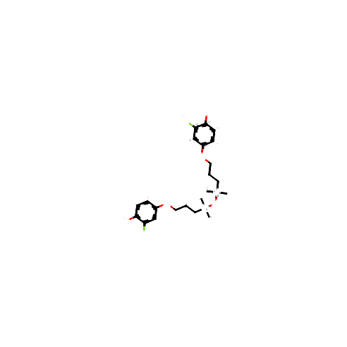 C[Si](C)(CCCOc1ccc(O)c(F)c1)O[Si](C)(C)CCCOc1ccc(O)c(F)c1